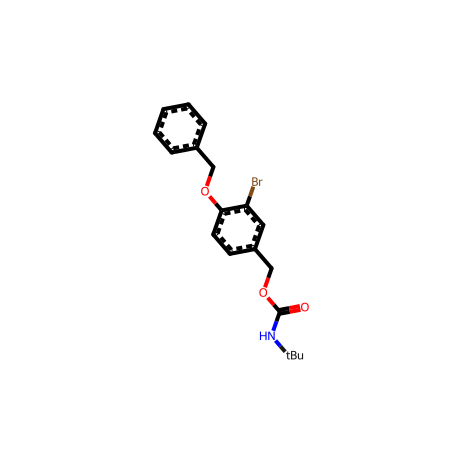 CC(C)(C)NC(=O)OCc1ccc(OCc2ccccc2)c(Br)c1